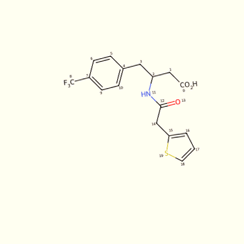 O=C(O)CC(Cc1ccc(C(F)(F)F)cc1)NC(=O)Cc1cccs1